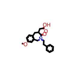 COc1ccc2c(c1)CN(CCc1ccccc1)C(=O)C(CC(=O)O)C2